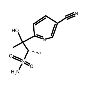 C[C@@H](C(C)(O)c1ccc(C#N)cn1)S(N)(=O)=O